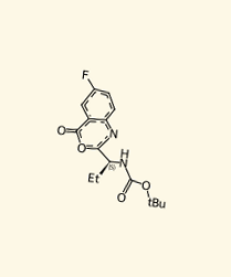 CC[C@H](NC(=O)OC(C)(C)C)c1nc2ccc(F)cc2c(=O)o1